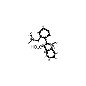 CN(S)Cc1ccccc1-c1c(C(=O)O)c2ccccc2n1C